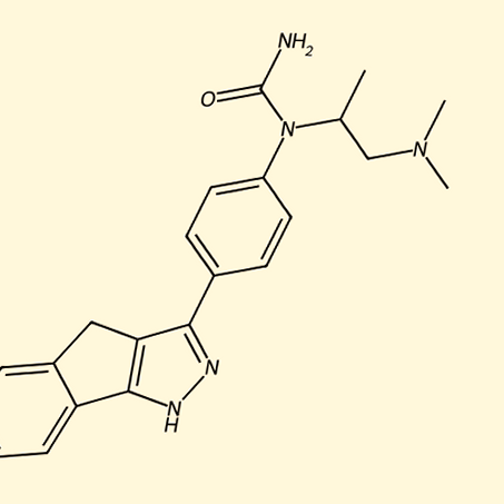 CC(CN(C)C)N(C(N)=O)c1ccc(-c2n[nH]c3c2Cc2ccccc2-3)cc1